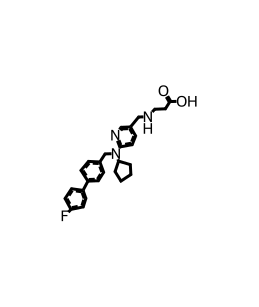 O=C(O)CCNCc1ccc(N(Cc2ccc(-c3ccc(F)cc3)cc2)C2CCCC2)nc1